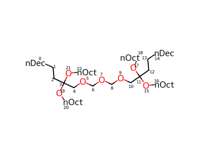 CCCCCCCCCCCCC(COCOCOCC(CCCCCCCCCCCC)(OCCCCCCCC)OCCCCCCCC)(OCCCCCCCC)OCCCCCCCC